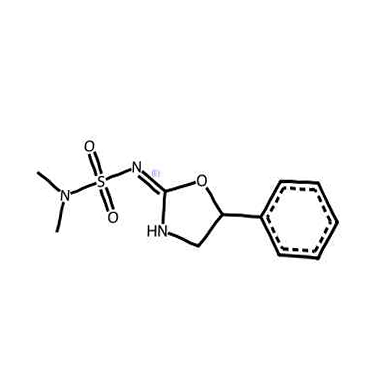 CN(C)S(=O)(=O)/N=C1\NCC(c2ccccc2)O1